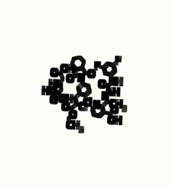 C/C(=N\NC(=O)Nc1cc(F)cc(F)c1)c1ncccc1C(=O)O.CCOC(=O)/C(Cl)=C/c1cc(N2C(=O)C3=C(CCCC3)C2=O)ccc1Cl.O=C(O)CNCP(=O)(O)O